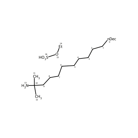 CCCCCCCCCCCCCCCCCCCC(C)(C)N.CCOS(=O)(=O)O